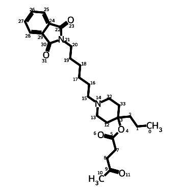 CCCC1(OC(=O)CCC(C)=O)CCN(CCCCCCN2C(=O)c3ccccc3C2=O)CC1